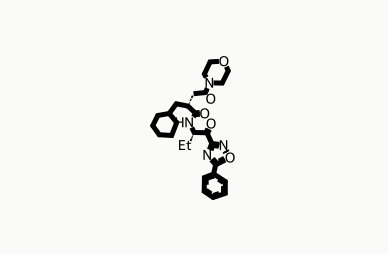 CC[C@H](NC(=O)[C@@H](CC(=O)N1CCOCC1)CC1CCCCC1)C(=O)c1noc(-c2ccccc2)n1